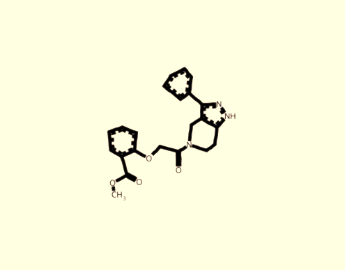 COC(=O)c1ccccc1OCC(=O)N1CCc2[nH]nc(-c3ccccc3)c2C1